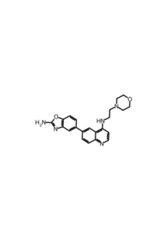 Nc1nc2cc(-c3ccc4nccc(NCCN5CCOCC5)c4c3)ccc2o1